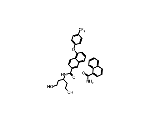 NC(=O)c1cccc2ccccc12.O=C(NC(CCO)CCO)c1ccc2c(Oc3ccc(C(F)(F)F)cc3)cccc2c1